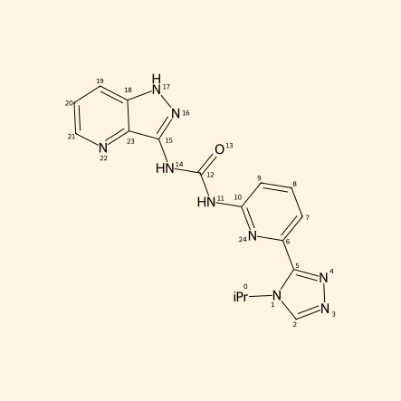 CC(C)n1cnnc1-c1cccc(NC(=O)Nc2n[nH]c3cccnc23)n1